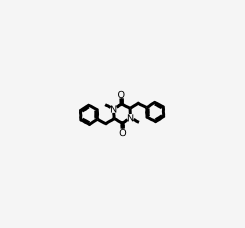 CN1C(=O)C(Cc2ccccc2)N(C)C(=O)C1Cc1ccccc1